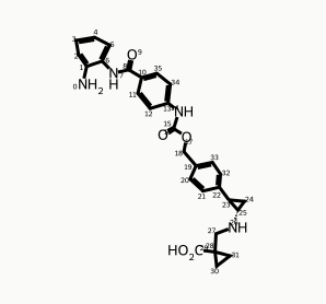 Nc1ccccc1NC(=O)c1ccc(NC(=O)OCc2ccc(C3C[C@@H]3NCC3(C(=O)O)CC3)cc2)cc1